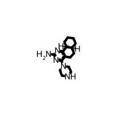 Nc1nc2c(c(N3CCNCC3)n1)CC[C@@H]1CCCC[C@@H]21